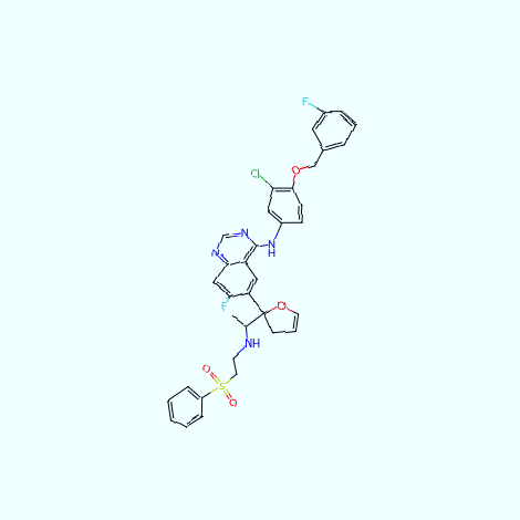 CC(NCCS(=O)(=O)c1ccccc1)C1(c2cc3c(Nc4ccc(OCc5cccc(F)c5)c(Cl)c4)ncnc3cc2F)CC=CO1